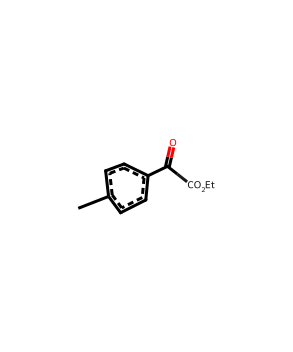 CCOC(=O)C(=O)c1ccc(C)cc1